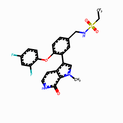 Cn1cc(-c2cc(CNS(=O)(=O)CC(F)(F)F)ccc2Oc2ccc(F)cc2F)c2cc[nH]c(=O)c21